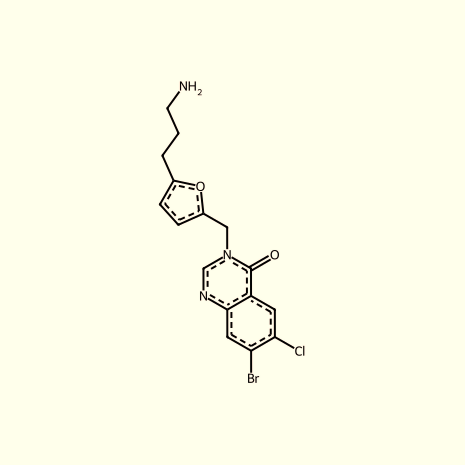 NCCCc1ccc(Cn2cnc3cc(Br)c(Cl)cc3c2=O)o1